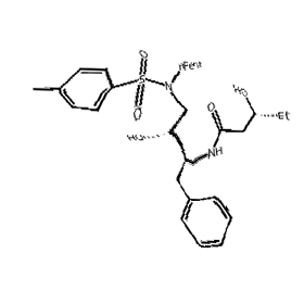 CCCCCN(C[C@@H](O)[C@H](Cc1ccccc1)NC(=O)C[C@H](O)CC)S(=O)(=O)c1ccc(C)cc1